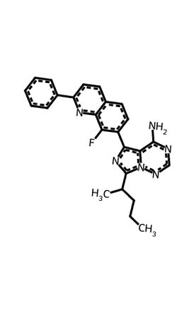 CCCC(C)c1nc(-c2ccc3ccc(-c4ccccc4)nc3c2F)c2c(N)ncnn12